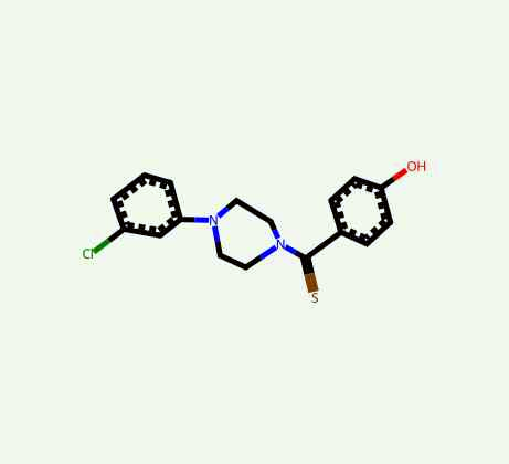 Oc1ccc(C(=S)N2CCN(c3cccc(Cl)c3)CC2)cc1